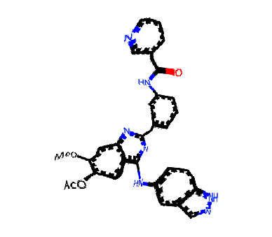 COc1cc2nc(-c3cccc(NC(=O)c4cccnc4)c3)nc(Nc3ccc4[nH]ncc4c3)c2cc1OC(C)=O